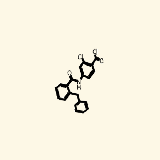 O=C(Cl)c1ccc(NC(=O)c2ccccc2Cc2ccccc2)cc1Cl